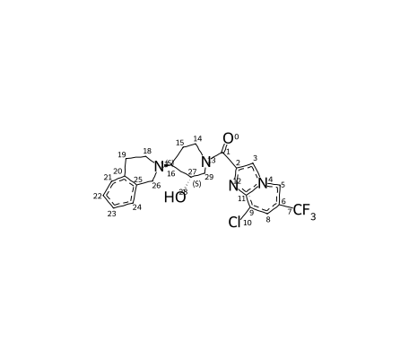 O=C(c1cn2cc(C(F)(F)F)cc(Cl)c2n1)N1CC[C@H](N2CCc3ccccc3C2)[C@@H](O)C1